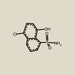 NS(=O)(=O)c1cccc2c(Cl)ccc(O)c12